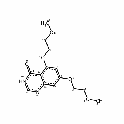 COCCOc1cc(OCCOC)c2c(=O)[nH]cnc2c1